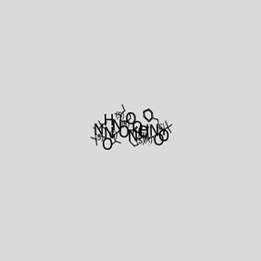 CC[C@H](C)C([C@@H](CC(=O)N1CCC[C@H]1[C@H](OC)[C@@H](C)C(=O)N[C@@H](Cc1ccccc1)C(=O)C(C)(C)C)OC)N(C)C(=O)[C@@H](NC(=O)[C@H](C(C)C)N(C)C(C)(C)C)C(C)C